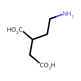 NCCC(CC(=O)O)C(=O)O